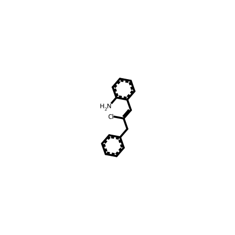 Nc1ccccc1C=C(Cl)Cc1ccccc1